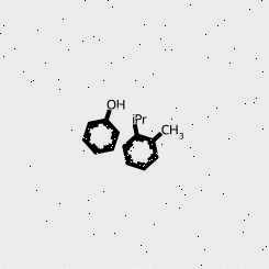 Cc1ccccc1C(C)C.Oc1ccccc1